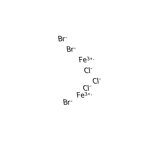 [Br-].[Br-].[Br-].[Cl-].[Cl-].[Cl-].[Fe+3].[Fe+3]